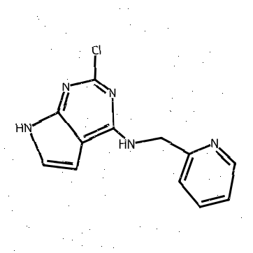 Clc1nc(NCc2ccccn2)c2cc[nH]c2n1